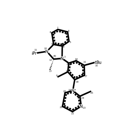 Cc1c(N2c3ccccc3N(C(C)C)[C@H]2C)cc(C(C)(C)C)cc1-[n+]1cccnc1C